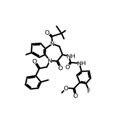 COC(=O)c1cc(NC(=O)NC2CN(C(=O)C(C)(C)C)c3ccc(C)cc3N(CC(=O)c3ccccc3C)C2=O)ccc1F